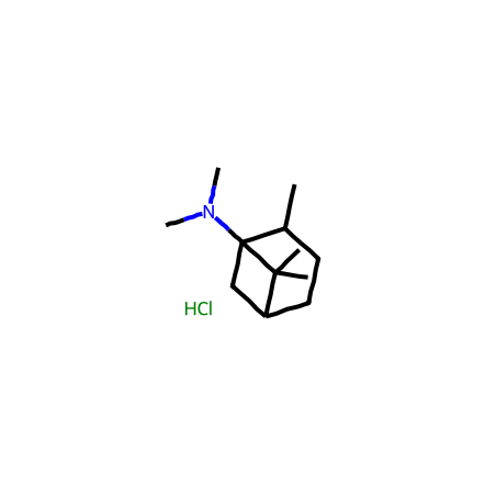 CC1CCC2CC1(N(C)C)C2(C)C.Cl